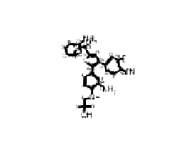 CC(C)(O)CNc1ccc(-c2sc(C(=O)N3C4CCC3C(N)C4)cc2-c2ccc(C#N)c(F)c2)cc1N